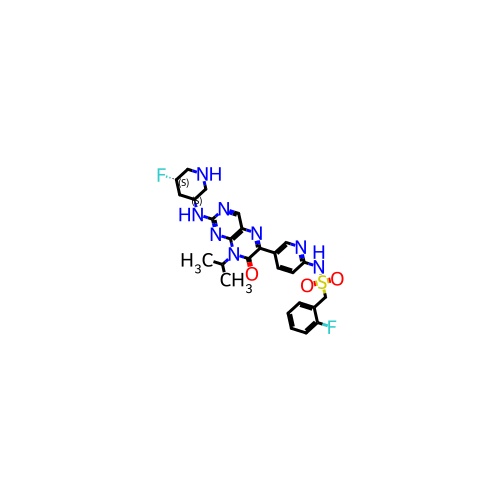 CC(C)n1c(=O)c(-c2ccc(NS(=O)(=O)Cc3ccccc3F)nc2)nc2cnc(N[C@@H]3CNC[C@@H](F)C3)nc21